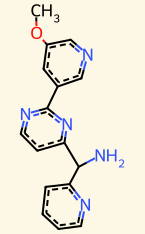 COc1cncc(-c2nccc(C(N)c3ccccn3)n2)c1